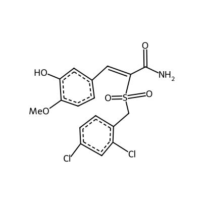 COc1ccc(C=C(C(N)=O)S(=O)(=O)Cc2ccc(Cl)cc2Cl)cc1O